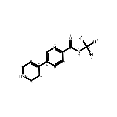 [2H]C([2H])([2H])NC(=O)c1ccc(C2=CCNCC2)cn1